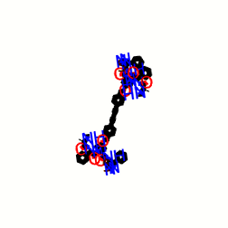 CN[C@@H](C)C(=O)N[C@H](C(=O)N1CC(OCc2ccc(C#CC#Cc3ccc(CO[C@H]4C[C@@H](C(=O)Nc5snnc5-c5ccccc5)N(C(=O)[C@@H](NC(=O)[C@H](C)NC)C5CCCCC5)C4)cc3)cc2)C[C@H]1C(=O)Nc1snnc1-c1ccccc1)C1CCCCC1